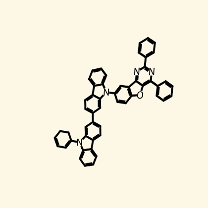 C1=CCCC(n2c3ccccc3c3ccc(-c4ccc5c6ccccc6n(-c6ccc7oc8c(-c9ccccc9)nc(-c9ccccc9)nc8c7c6)c5c4)cc32)=C1